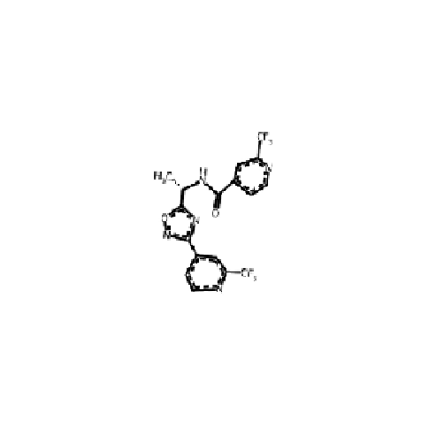 C[C@H](NC(=O)c1ccnc(C(F)(F)F)c1)c1nc(-c2ccnc(C(F)(F)F)c2)no1